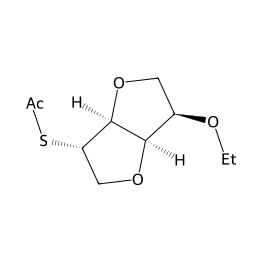 CCO[C@@H]1CO[C@H]2[C@@H]1OC[C@@H]2SC(C)=O